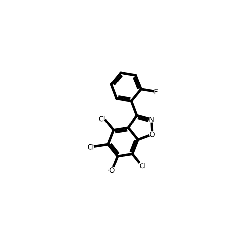 [O]c1c(Cl)c(Cl)c2c(-c3ccccc3F)noc2c1Cl